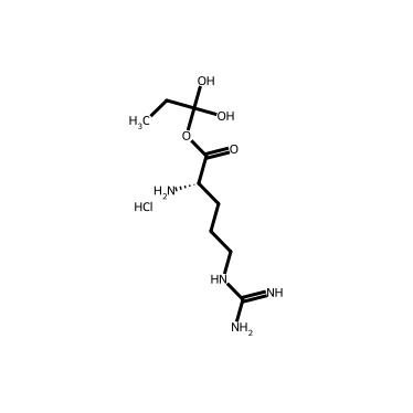 CCC(O)(O)OC(=O)[C@@H](N)CCCNC(=N)N.Cl